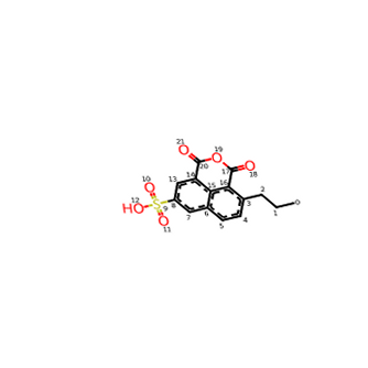 CCCc1ccc2cc(S(=O)(=O)O)cc3c2c1C(=O)OC3=O